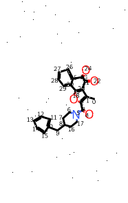 Cc1c(C(=O)N2CCC(Cc3ccccc3)CC2)oc2c1C(=O)C(=O)c1ccccc1-2